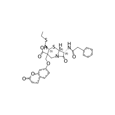 CCSC[C@H]1S[C@@H]2[C@H](NC(=O)Cc3ccccc3)C(=O)N2CC1(COc1ccc2ccc(=O)oc2c1)C(=O)O